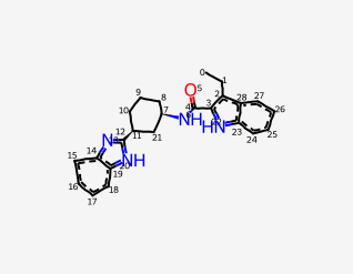 CCc1c(C(=O)N[C@@H]2CCC[C@H](c3nc4ccccc4[nH]3)C2)[nH]c2ccccc12